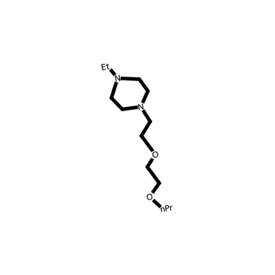 CCCOCCOCCN1CCN(CC)CC1